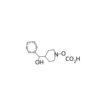 O=C(O)ON1CCC(C(O)c2ccccc2)CC1